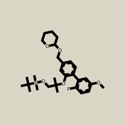 COc1ccc(F)c(-c2ccc(COC3CCCCO3)cc2OC(C)(C)CO[Si](C)(C)C(C)(C)C)c1